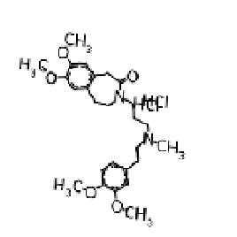 COc1ccc(CCN(C)CCCN2CCc3cc(OC)c(OC)cc3CC2=O)cc1OC.Cl.Cl